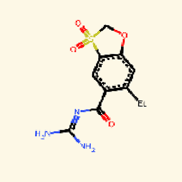 CCc1cc2c(cc1C(=O)N=C(N)N)S(=O)(=O)CO2